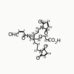 O=C/C=C\C(=O)NCC(CCCN1C(=O)C=CC1=O)(CCCN1C(=O)C=CC1=O)COCCC(=O)O